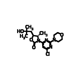 C[C@H]1C(CC(C)(C)O)OC(=O)N1c1cc(Cl)nc(N2CCOCC2)n1